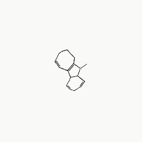 CN1C2=C(C=CCCC2)C2C=CCC=CC21